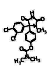 CN(C)C(=O)Oc1ccc(C2(c3ccc(Cl)c(Cl)c3)C(=O)NC(=O)N2C)cc1